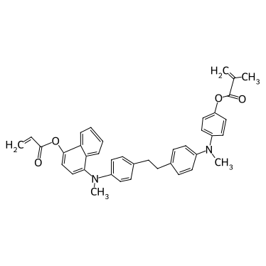 C=CC(=O)Oc1ccc(N(C)c2ccc(CCc3ccc(N(C)c4ccc(OC(=O)C(=C)C)cc4)cc3)cc2)c2ccccc12